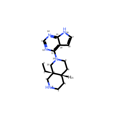 CC[C@]12CNCC[C@H]1CCN(c1ncnc3[nH]ccc13)C2